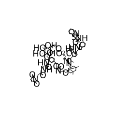 Cc1c(-c2ccc(-c3cc4cccc(C(=O)Nc5nc6ccccc6s5)c4[nH]3)nc2C(=O)O)cnn1CC12CC3(C)CC(C)(C1)CC(OCCN(C)C(=O)OCc1ccc(O[C@@H]4O[C@H](C(=O)O)[C@@H](O)[C@H](O)[C@H]4O)c(NC(=O)CNCC(=O)CCN4C(=O)C=CC4=O)c1)(C3)C2